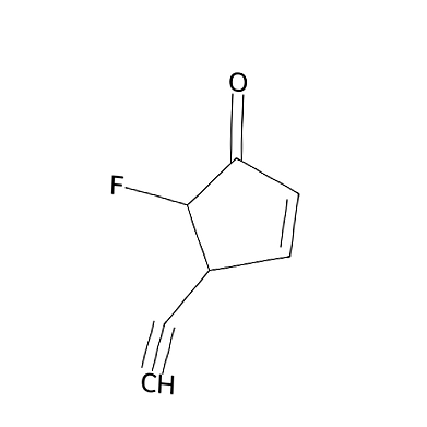 C#CC1C=CC(=O)C1F